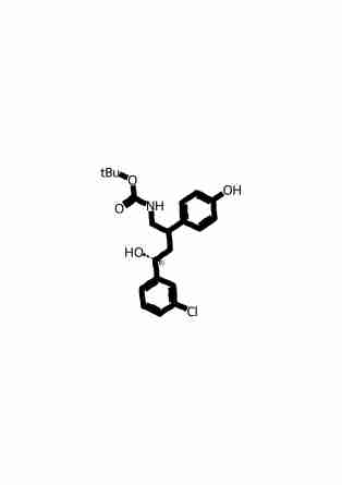 CC(C)(C)OC(=O)NCC(C[C@@H](O)c1cccc(Cl)c1)c1ccc(O)cc1